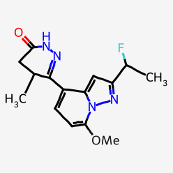 COc1ccc(C2=NNC(=O)CC2C)c2cc(C(C)F)nn12